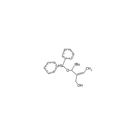 C/C=C(/CO)C(O[SiH](c1ccccc1)c1ccccc1)C(C)(C)C